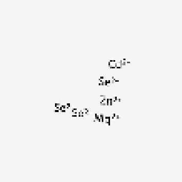 [Cd+2].[Mg+2].[Se-2].[Se-2].[Se-2].[Zn+2]